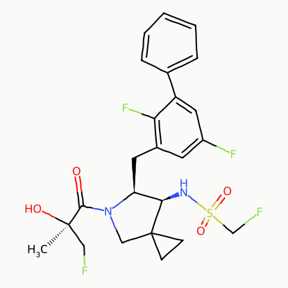 C[C@@](O)(CF)C(=O)N1CC2(CC2)[C@H](NS(=O)(=O)CF)[C@@H]1Cc1cc(F)cc(-c2ccccc2)c1F